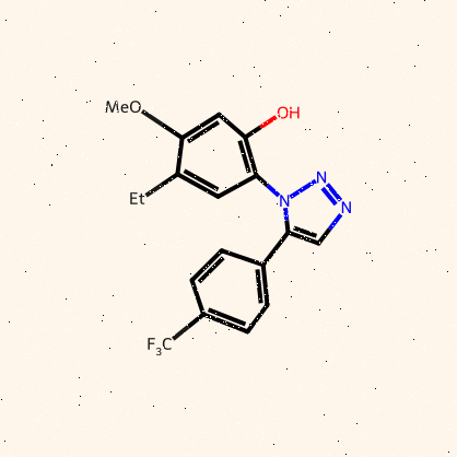 CCc1cc(-n2nncc2-c2ccc(C(F)(F)F)cc2)c(O)cc1OC